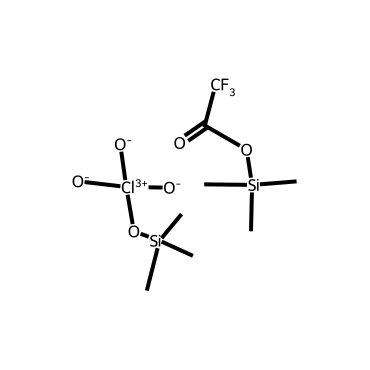 C[Si](C)(C)OC(=O)C(F)(F)F.C[Si](C)(C)O[Cl+3]([O-])([O-])[O-]